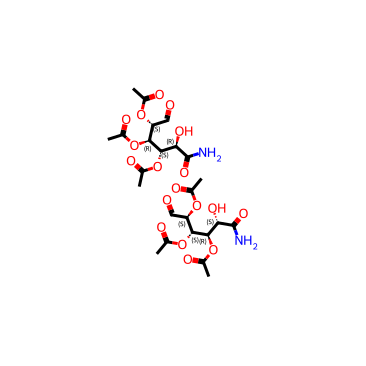 CC(=O)O[C@@H]([C@H](OC(C)=O)[C@@H](C=O)OC(C)=O)[C@H](O)C(N)=O.CC(=O)O[C@H]([C@@H](OC(C)=O)[C@@H](O)C(N)=O)[C@@H](C=O)OC(C)=O